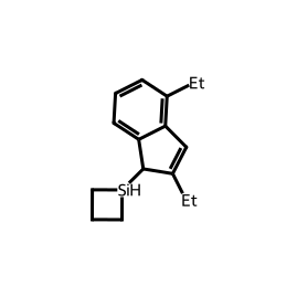 CCC1=Cc2c(CC)cccc2C1[SiH]1CCC1